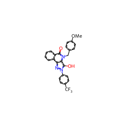 COc1ccc(Cn2c(=O)c3ccccc3c3nn(-c4ccc(C(F)(F)F)cc4)c(O)c32)cc1